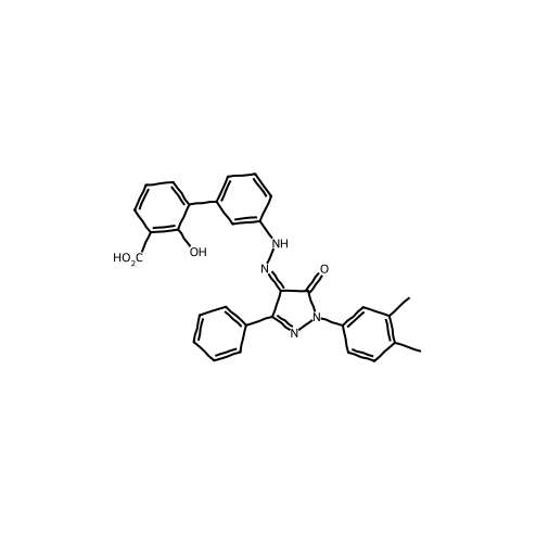 Cc1ccc(N2N=C(c3ccccc3)/C(=N/Nc3cccc(-c4cccc(C(=O)O)c4O)c3)C2=O)cc1C